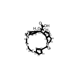 CC(C)(C(=O)O)C1c2ccc3c(c2)CN(CC3)C(=O)c2ccc(cc2)CCCCCCn2nnc3cc1ccc32